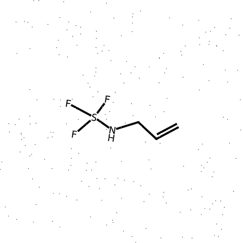 C=CCNS(F)(F)F